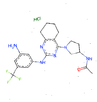 CC(=O)NC1CCN(c2nc(Nc3cc(N)cc(C(F)(F)F)c3)nc3c2CCCC3)C1.Cl